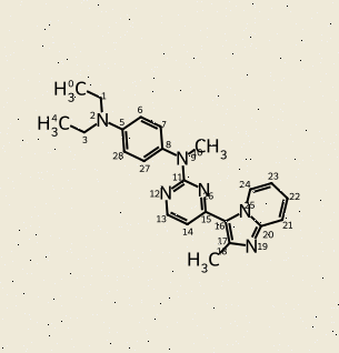 CCN(CC)c1ccc(N(C)c2nccc(-c3c(C)nc4ccccn34)n2)cc1